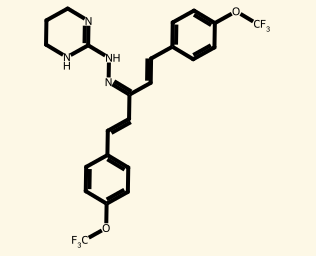 FC(F)(F)Oc1ccc(C=CC(C=Cc2ccc(OC(F)(F)F)cc2)=NNC2=NCCCN2)cc1